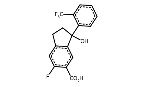 O=C(O)c1cc2c(cc1F)CCC2(O)c1ccccc1C(F)(F)F